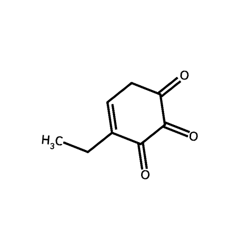 CCC1=CCC(=O)C(=O)C1=O